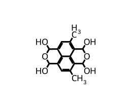 Cc1cc2c3c(cc(C)c4c3c1C(O)OC4O)C(O)OC2O